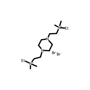 CC[N+](C)(C)CCN1CCN(CC[N+](C)(C)CC)CC1.[Br-].[Br-]